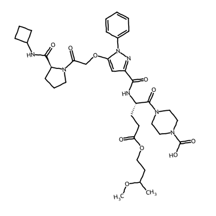 COC(C)CCOC(=O)CC[C@H](NC(=O)c1cc(OCC(=O)N2CCC[C@H]2C(=O)NC2CCC2)n(-c2ccccc2)n1)C(=O)N1CCN(C(=O)O)CC1